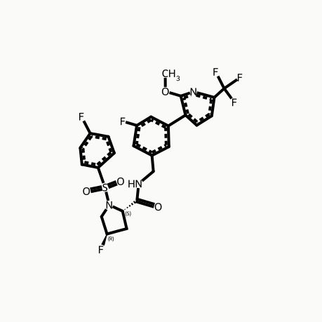 COc1nc(C(F)(F)F)ccc1-c1cc(F)cc(CNC(=O)[C@@H]2C[C@@H](F)CN2S(=O)(=O)c2ccc(F)cc2)c1